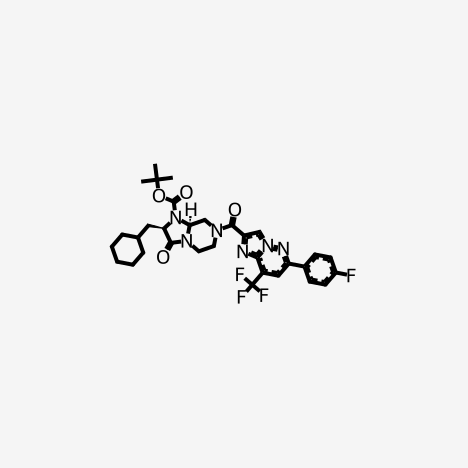 CC(C)(C)OC(=O)N1[C@H](CC2CCCCC2)C(=O)N2CCN(C(=O)c3cn4nc(-c5ccc(F)cc5)cc(C(F)(F)F)c4n3)C[C@@H]21